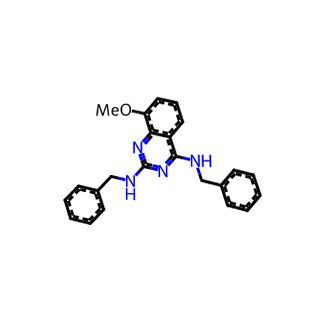 COc1cccc2c(NCc3ccccc3)nc(NCc3ccccc3)nc12